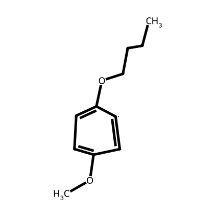 CCCCOc1[c]cc(OC)cc1